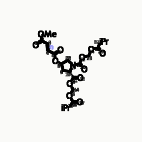 COC(=O)/C=C/C(=O)O[C@@H]1C[C@@H](C(=O)OCOC(=O)C(C)C)N(C(=O)OCOC(=O)C(C)C)C1